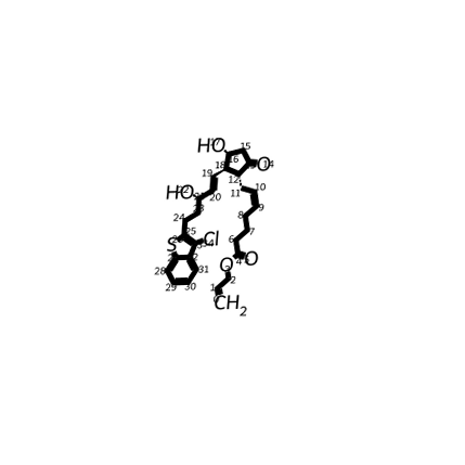 C=CCOC(=O)CCC/C=C\C[C@H]1C(=O)C[C@@H](O)[C@@H]1/C=C/[C@@H](O)CCc1sc2ccccc2c1Cl